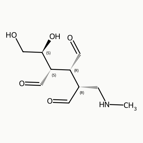 CNC[C@H](C=O)[C@@H](C=O)[C@H](C=O)[C@H](O)CO